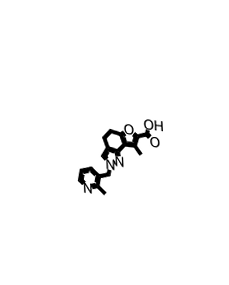 Cc1ncccc1Cn1cc2c(n1)-c1c(oc(C(=O)O)c1C)CC2